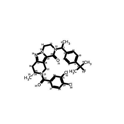 CC(c1ccc(C(C)(C)F)cc1)N1CCn2nc3c(c2C1=O)CN(C(=O)c1ccc(Cl)c(Cl)c1)[C@H](C)C3